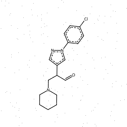 O=CC(CN1CCCCC1)c1cnn(-c2ccc(Cl)cc2)c1